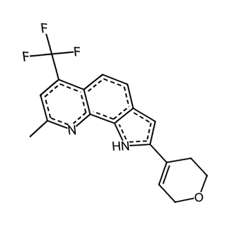 Cc1cc(C(F)(F)F)c2ccc3cc(C4=CCOCC4)[nH]c3c2n1